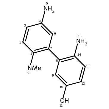 CNc1ccc(N)cc1-c1cc(O)ccc1N